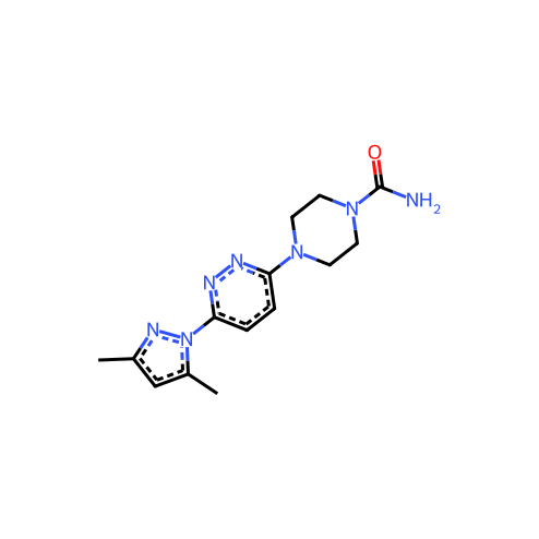 Cc1cc(C)n(-c2ccc(N3CCN(C(N)=O)CC3)nn2)n1